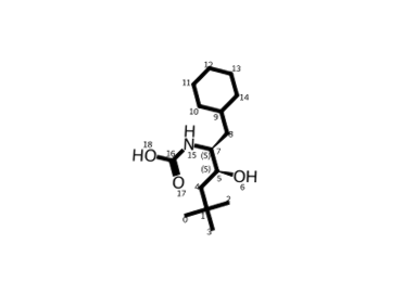 CC(C)(C)C[C@H](O)[C@H](CC1CCCCC1)NC(=O)O